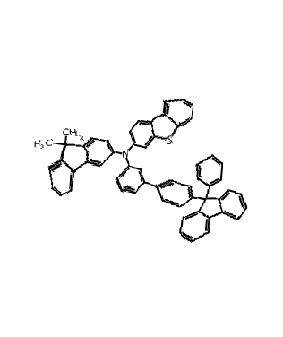 CC1(C)c2ccccc2-c2cc(N(c3cccc(-c4ccc(C5(c6ccccc6)c6ccccc6-c6ccccc65)cc4)c3)c3ccc4c(c3)sc3ccccc34)ccc21